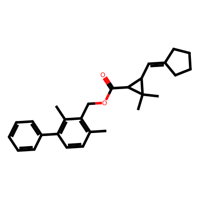 Cc1ccc(-c2ccccc2)c(C)c1COC(=O)C1C(C=C2CCCC2)C1(C)C